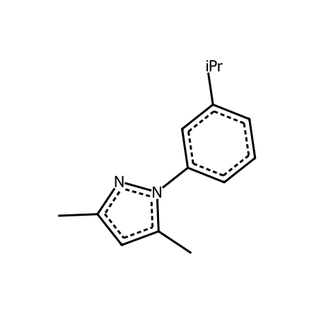 Cc1cc(C)n(-c2cccc(C(C)C)c2)n1